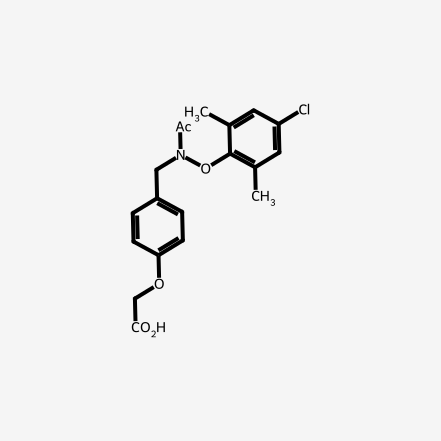 CC(=O)N(Cc1ccc(OCC(=O)O)cc1)Oc1c(C)cc(Cl)cc1C